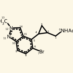 CC(=O)NCC1CC1c1c(Br)ccc2nn(C)cc12